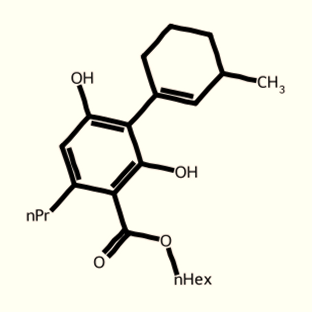 CCCCCCOC(=O)c1c(CCC)cc(O)c(C2=CC(C)CCC2)c1O